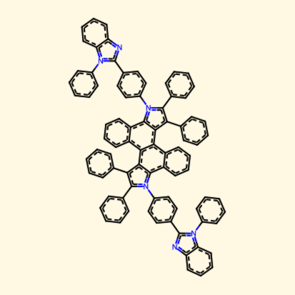 c1ccc(-c2c(-c3ccccc3)n(-c3ccc(-c4nc5ccccc5n4-c4ccccc4)cc3)c3c4ccccc4c4c5c(-c6ccccc6)c(-c6ccccc6)n(-c6ccc(-c7nc8ccccc8n7-c7ccccc7)cc6)c5c5ccccc5c4c23)cc1